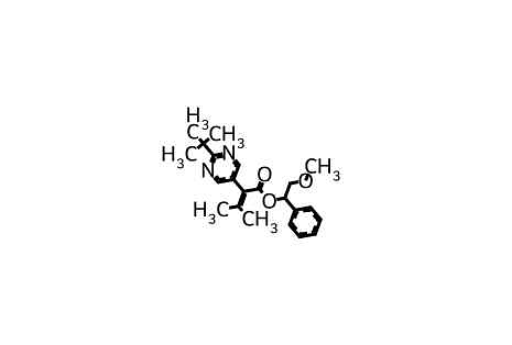 COCC(OC(=O)C(=C(C)C)c1cnc(C(C)(C)C)nc1)c1ccccc1